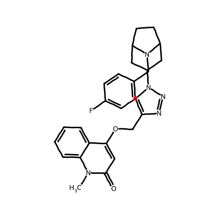 Cn1c(=O)cc(OCc2cn(C3CC4CCC(C3)N4Cc3ccc(F)cc3)nn2)c2ccccc21